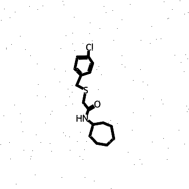 O=C(CSCc1ccc(Cl)cc1)NC1CCCCCC1